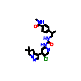 CNC(=O)c1ccc(C(C)CNC(=O)Nc2cc(-c3cnn4c3CC(C)(C)C4)c(Cl)cn2)cc1